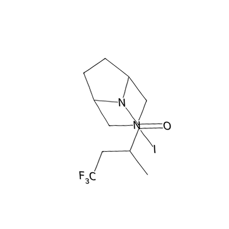 CC(CC(F)(F)F)C(=O)N1C2CCC1CN(I)C2